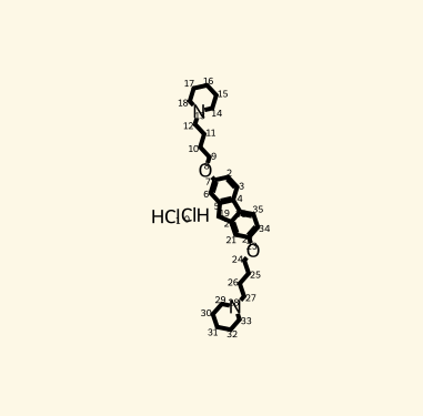 Cl.Cl.c1cc2c(cc1OCCCCN1CCCCC1)Cc1cc(OCCCCN3CCCCC3)ccc1-2